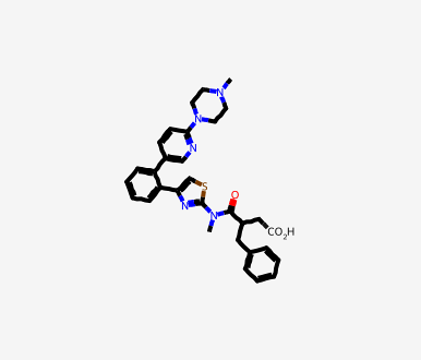 CN1CCN(c2ccc(-c3ccccc3-c3csc(N(C)C(=O)C(CC(=O)O)Cc4ccccc4)n3)cn2)CC1